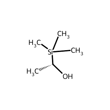 C[C@@H](O)[Si](C)(C)C